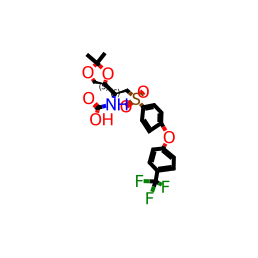 CC1(C)OC[C@H]([C@@H](CS(=O)(=O)c2ccc(Oc3ccc(C(F)(F)F)cc3)cc2)NC(=O)O)O1